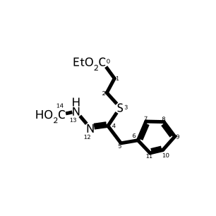 CCOC(=O)CCS/C(Cc1ccccc1)=N\NC(=O)O